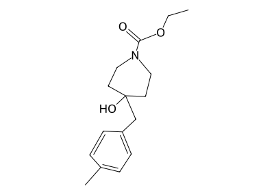 CCOC(=O)N1CCC(O)(Cc2ccc(C)cc2)CC1